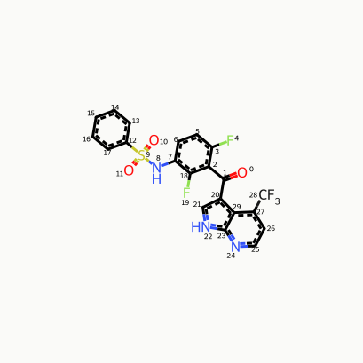 O=C(c1c(F)ccc(NS(=O)(=O)c2ccccc2)c1F)c1c[nH]c2nccc(C(F)(F)F)c12